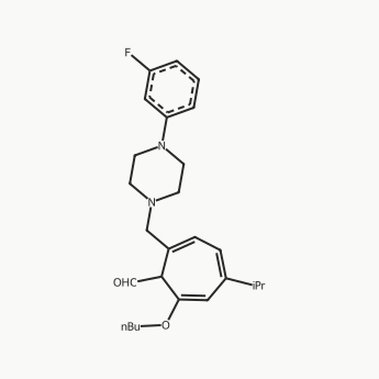 CCCCOC1=CC(C(C)C)=CC=C(CN2CCN(c3cccc(F)c3)CC2)C1C=O